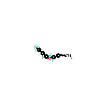 CCCCCc1ccc(-c2cc(F)c(C(F)(F)Oc3ccc(-c4ccc(-c5ccc(C(F)(F)F)c(F)c5)c(F)c4)c(F)c3)c(F)c2)cc1